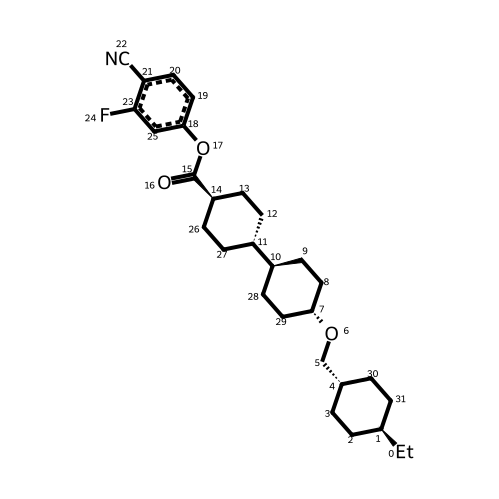 CC[C@H]1CC[C@H](CO[C@H]2CC[C@H]([C@H]3CC[C@H](C(=O)Oc4ccc(C#N)c(F)c4)CC3)CC2)CC1